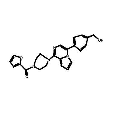 O=C(c1ccco1)N1CCN(c2ncc(-c3ccc(CO)cc3)n3ccnc23)CC1